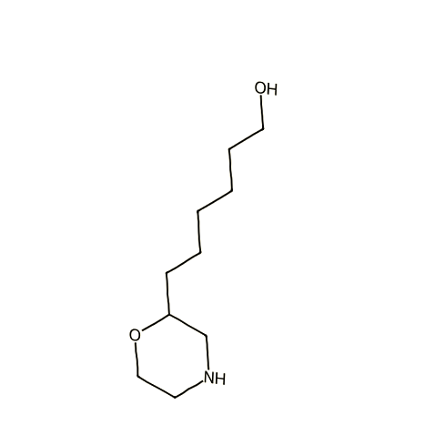 OCCCCCCC1CNCCO1